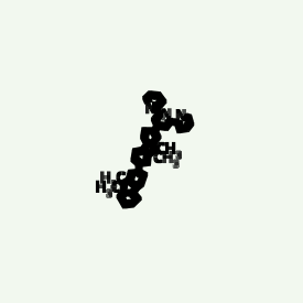 CC1(C)c2ccccc2-c2ccc(-c3ccc4c(c3)C(C)(C)c3cc(-c5cc(-c6ccccn6)nc(-c6ccccn6)c5)ccc3-4)cc21